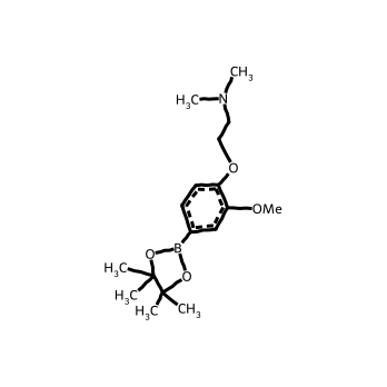 COc1cc(B2OC(C)(C)C(C)(C)O2)ccc1OCCN(C)C